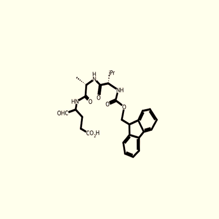 CC(C)[C@H](NC(=O)OCC1c2ccccc2-c2ccccc21)C(=O)N[C@@H](C)C(=O)NC(C=O)CCC(=O)O